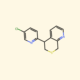 Clc1ccc(C2CSCc3ncccc32)nc1